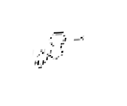 B[C@]1(N)CCc2c(C#N)cccc21